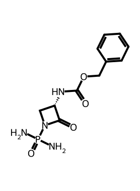 NP(N)(=O)N1C[C@H](NC(=O)OCc2ccccc2)C1=O